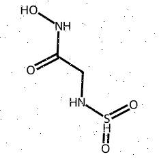 O=C(CN[SH](=O)=O)NO